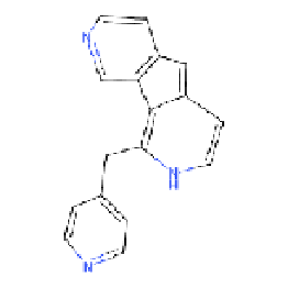 c1cc(Cc2[nH]ccc3cc4ccncc4c2-3)ccn1